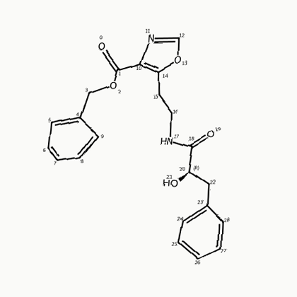 O=C(OCc1ccccc1)c1ncoc1CCNC(=O)[C@H](O)Cc1ccccc1